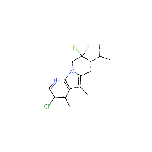 Cc1c(Cl)cnc2c1c(C)c1n2CC(F)(F)C(C(C)C)C1